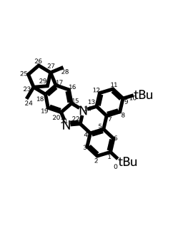 CC(C)(C)c1ccc2c(c1)c1cc(C(C)(C)C)ccc1n1c3cc4c(cc3nc21)C1(C)CCC4(C)C1